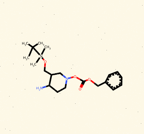 CC(C)(C)[Si](C)(C)OCC1CN(OC(=O)OCc2ccccc2)CCC1N